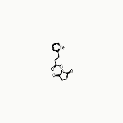 O=C(CCc1ccc[te]1)ON1C(=O)CCC1=O